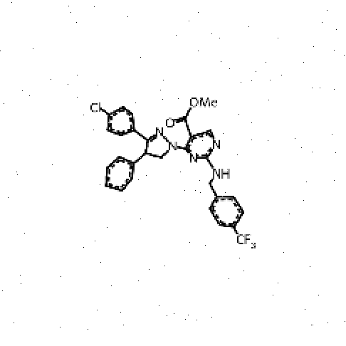 COC(=O)c1cnc(NCc2ccc(C(F)(F)F)cc2)nc1N1CC(c2ccccc2)C(c2ccc(Cl)cc2)=N1